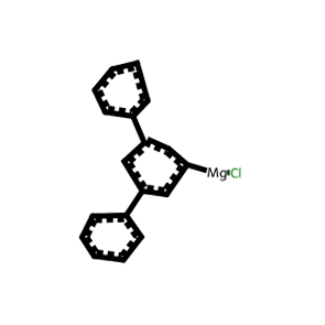 [Cl][Mg][c]1cc(-c2ccccc2)cc(-c2ccccc2)c1